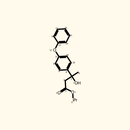 CC(C)OC(=O)CC(C)(O)c1ccc(Oc2ccccc2)cc1